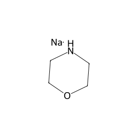 C1COCCN1.[Na]